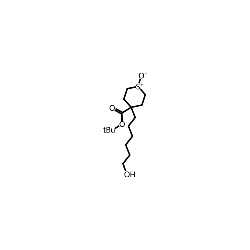 CC(C)(C)OC(=O)C1(CCCCCCO)CC[S+]([O-])CC1